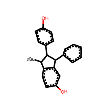 CCCCC1c2ccc(O)cc2C(c2ccccc2)C1c1ccc(O)cc1